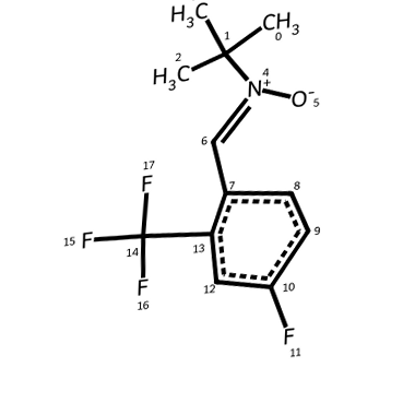 CC(C)(C)[N+]([O-])=Cc1ccc(F)cc1C(F)(F)F